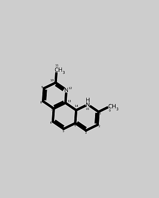 CC1=CC=C2C=Cc3ccc(C)nc3C2N1